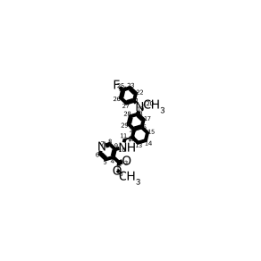 COC(=O)c1ccncc1NC[C@@H]1CCCc2cc(N(C)c3ccc(F)cc3)ccc21